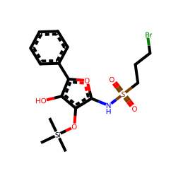 C[Si](C)(C)Oc1c(NS(=O)(=O)CCCBr)oc(-c2ccccc2)c1O